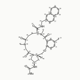 CCCCC(=O)N[C@@H]1C[C@H]2COc3ccc(F)cc3C(=O)N(C)[C@H](C(=O)NCc3ccc4ccccc4c3)CCC(=O)N(C)CC(=O)N2C1